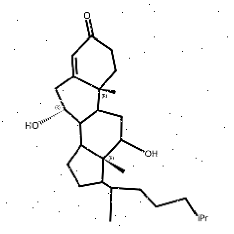 CC(C)CCCC(C)C1CCC2C3C(CC(O)[C@]12C)[C@@]1(C)CCC(=O)C=C1C[C@H]3O